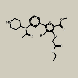 CCOC(=O)COc1c(C(=O)OC)sc(-c2cccc(N(C(C)=O)C3CCNCC3)c2)c1Br